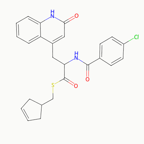 O=C(NC(Cc1cc(=O)[nH]c2ccccc12)C(=O)SCC1CC=CC1)c1ccc(Cl)cc1